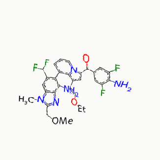 CCO/C=C/c1cc(C(=O)c2cc(F)c(N)c(F)c2)n2cccc(-c3c(C(F)F)cc4c(nc(COC)n4C)c3N)c12